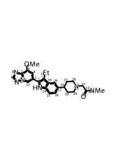 CCc1c(-c2cc(OC)c3ncnn3c2)[nH]c2ccc(C3CCN(CC(=O)NC)CC3)cc12